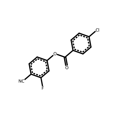 N#Cc1ccc(OC(=O)c2ccc(Cl)cc2)cc1F